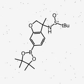 CC1(N[S+]([O-])C(C)(C)C)COc2cc(B3OC(C)(C)C(C)(C)O3)ccc21